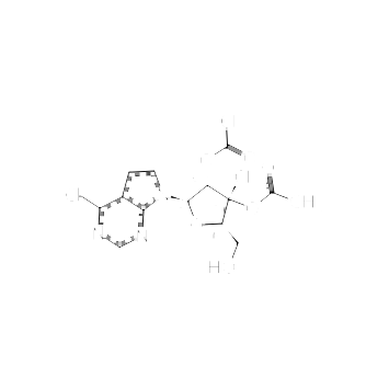 CC(=O)O[C@H]1[C@H](n2ccc3c(Cl)ncnc32)O[C@H](CO)[C@@]1(C)OC(C)=O